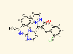 CC(Nc1nccc(-c2c(Cc3ccccc3Cl)c(=O)n3n2CCC3)n1)c1ccccc1